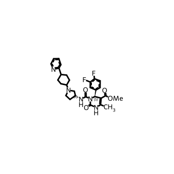 COC(=O)C1=C(C)NC(=O)N(C(=O)N[C@@H]2CCN(C3CCC(c4ccccn4)CC3)C2)[C@H]1c1ccc(F)c(F)c1